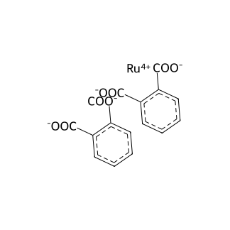 O=C([O-])c1ccccc1C(=O)[O-].O=C([O-])c1ccccc1C(=O)[O-].[Ru+4]